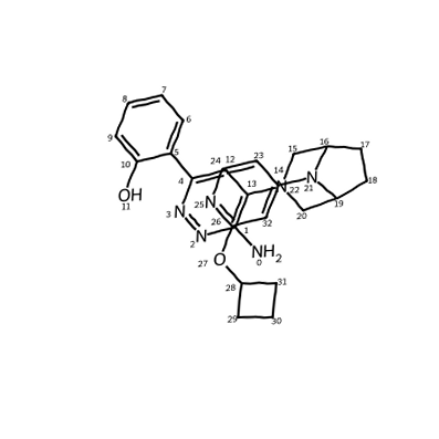 Nc1nnc(-c2ccccc2O)cc1N1CC2CCC(C1)N2c1ccnc(OC2CCC2)c1